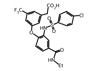 CCNC(=O)c1ccc(Oc2cc(CC(=O)O)cc(C(F)(F)F)c2)c(NS(=O)(=O)c2ccc(Cl)cc2)c1